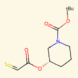 CC(C)(C)OC(=O)N1CCC[C@H](OC(=O)C=S)C1